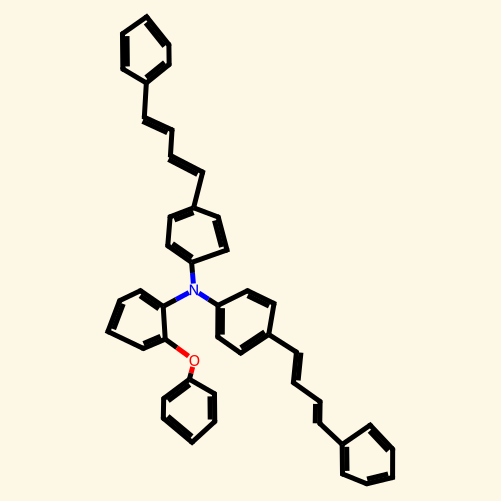 C(/C=C/c1ccc(N(c2ccc(/C=C/C=C/c3ccccc3)cc2)c2ccccc2Oc2ccccc2)cc1)=C\c1ccccc1